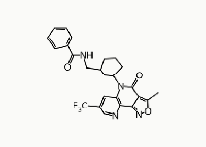 Cc1onc2c1c(=O)n(C1CCCC(CNC(=O)c3ccccc3)C1)c1cc(C(F)(F)F)cnc21